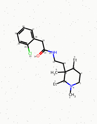 CCC1CCN(C)C(CC)C1(C)CCNC(=O)Cc1ccccc1Cl